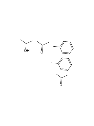 CC(C)=O.CC(C)=O.CC(C)O.Cc1ccccc1.Cc1ccccc1